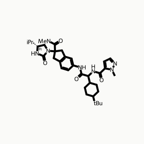 CNC(=O)C1(N2C[C@@H](C(C)C)NC2=O)Cc2ccc(NC(=O)C(NC(=O)c3ccnn3C)C3CCC(C(C)(C)C)CC3)cc2C1